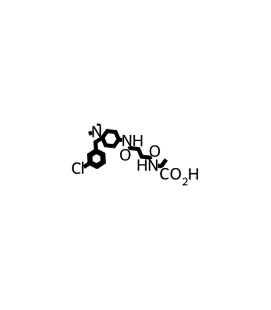 CC(NC(=O)CCC(=O)NC1CCC(Cc2cccc(Cl)c2)(N(C)C)CC1)C(=O)O